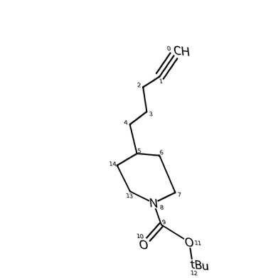 C#CCCCC1CCN(C(=O)OC(C)(C)C)CC1